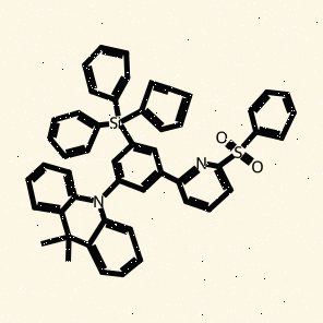 CC1(C)c2ccccc2N(c2cc(-c3cccc(S(=O)(=O)c4ccccc4)n3)cc([Si](c3ccccc3)(c3ccccc3)c3ccccc3)c2)c2ccccc21